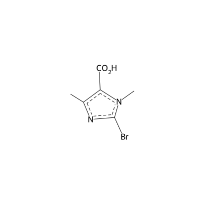 Cc1nc(Br)n(C)c1C(=O)O